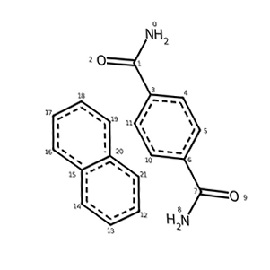 NC(=O)c1ccc(C(N)=O)cc1.c1ccc2ccccc2c1